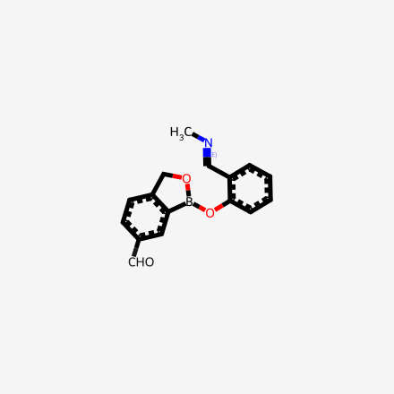 C/N=C/c1ccccc1OB1OCc2ccc(C=O)cc21